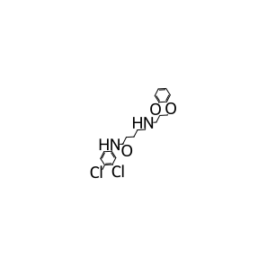 O=C(CCCCNCC1COc2ccccc2O1)Nc1ccc(Cl)c(Cl)c1